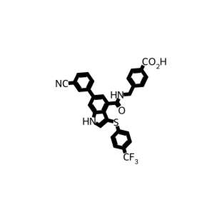 N#Cc1cccc(-c2cc(C(=O)NCc3ccc(C(=O)O)cc3)c3c(Sc4ccc(C(F)(F)F)cc4)c[nH]c3c2)c1